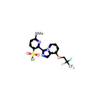 CCS(=O)(=O)c1ccc(NC)nc1-c1ncc2c(OCC(F)(F)C(F)(F)F)cccn12